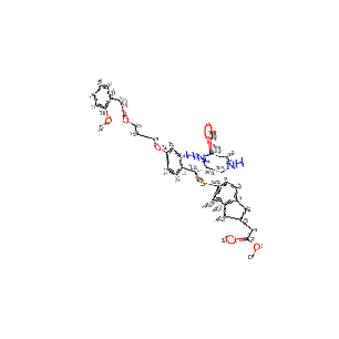 COC(=O)CC1Cc2ccc(SC(c3ccc(OCCCOCc4ccccc4OC)cc3)[C@H]3CNCC(=O)N3)cc2C1